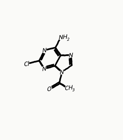 CC(=O)n1cnc2c(N)nc(Cl)nc21